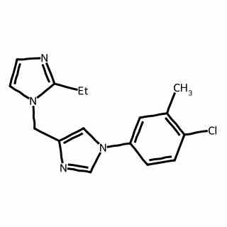 CCc1nccn1Cc1cn(-c2ccc(Cl)c(C)c2)cn1